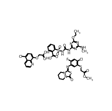 CCOc1nc(NC)nc(NC(=O)NS(=O)(=O)c2ccccc2C(=O)O)n1.COC(=O)CSc1cc(/N=c2\sc(=O)n3n2CCCC3)c(F)cc1Cl.O=C(O)COc1ccc(Cl)c2cccnc12